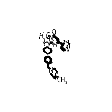 CN1CCN(Cc2ccc([C@H]3CC[C@@H](Oc4nc(-c5ccncn5)cc(=O)n4C)CC3)cc2)CC1